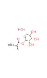 C=C(CCCC)C(=O)OC1O[C@H](CO)[C@@H](O)[C@H](O)[C@H]1O